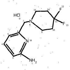 Cl.Nc1cccc(CN2CCC(F)(F)CC2)n1